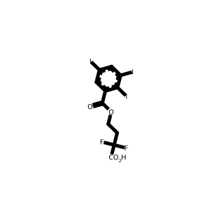 O=C(OCCC(F)(F)C(=O)O)c1cc(I)cc(I)c1I